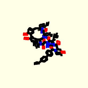 CCCCc1ccc(-c2ccc(C(=O)N(C)[C@H](CO)C(=O)N[C@H](C)C(=O)NCC(=O)N(C)[C@@H]3C(=O)N[C@@H](C)C(=O)N[C@H](C(=O)O)CC4=CC[C@H](O)C(=C4)C4=C(O)C=C[C@H]3C4)cc2)cc1